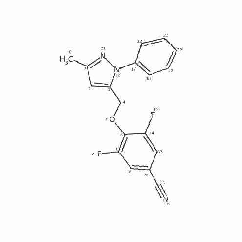 Cc1cc(COc2c(F)cc(C#N)cc2F)n(-c2ccccc2)n1